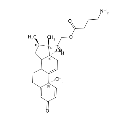 C[C@@H]1CC2C3CCC4=CC(=O)C=C[C@]4(C)C3=CC[C@]2(C)[C@@]1(C)C(=O)COC(=O)CCCN